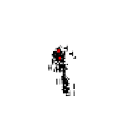 CCc1cc(C[C@H](NC(C)=O)C(=O)NCCCCC(=O)N[C@@H](Cc2ccc(O)cc2)C(=O)O)ccc1N(C(=O)C(=O)O)c1ccccc1C(=O)O